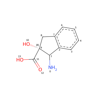 NC1c2ccccc2C[C@]1(O)C(=O)O